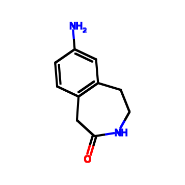 Nc1ccc2c(c1)CCNC(=O)C2